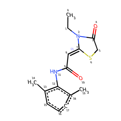 CCN1C(=O)CS/C1=C\C(=O)Nc1c(C)cccc1C